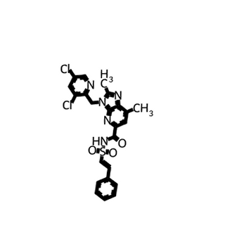 Cc1cc(C(=O)NS(=O)(=O)C=Cc2ccccc2)nc2c1nc(C)n2Cc1ncc(Cl)cc1Cl